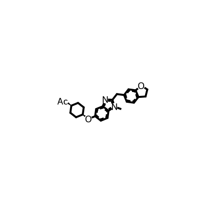 CC(=O)[C@H]1CC[C@@H](Oc2ccc3c(c2)nc(Cc2ccc4c(c2)OCC4)n3C)CC1